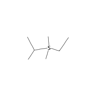 CCS(C)(C)C(C)C